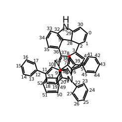 C1=CC(c2ccc3c(c2)c2cc(-c4ccccc4)ccc2n3-c2ccccc2)C2C(=C1)Nc1cccc(-c3cc(-c4ccccc4)nc(-c4ccccc4)n3)c12